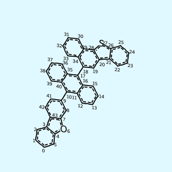 c1ccc2c(c1)oc1cc(-c3c4ccccc4c(-c4cc5c6ccccc6sc5c5ccccc45)c4ccccc34)ccc12